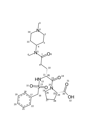 CN1CCC(N(C)C(=O)CC[C@@H](NS(=O)(=O)Cc2ccccc2)C(=O)N2CCC[C@H]2C(=O)O)CC1